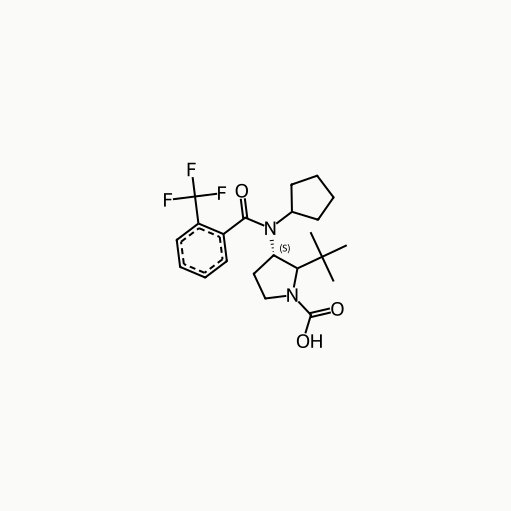 CC(C)(C)C1[C@@H](N(C(=O)c2ccccc2C(F)(F)F)C2CCCC2)CCN1C(=O)O